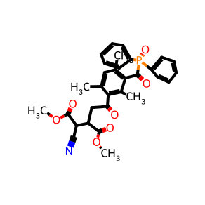 COC(=O)C(C#N)C(CC(=O)c1c(C)cc(C)c(C(=O)P(=O)(c2ccccc2)c2ccccc2)c1C)C(=O)OC